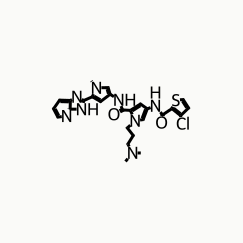 CN(C)CCCn1cc(NC(=O)c2sccc2Cl)cc1C(=O)Nc1cc(-c2nc3cccnc3[nH]2)n(C)c1